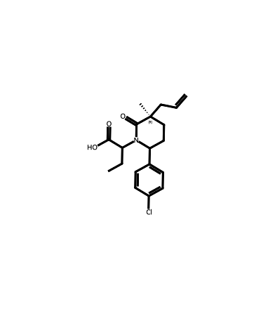 C=CC[C@@]1(C)CCC(c2ccc(Cl)cc2)N(C(CC)C(=O)O)C1=O